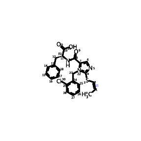 C/C=C\Sc1ncc(C(=O)N[C@@H](Cc2ccccc2)C(=O)O)n1Cc1ccccc1Cl